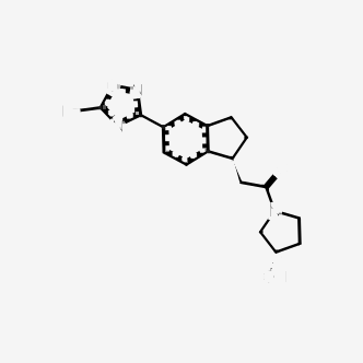 CCc1nc(-c2ccc3c(c2)CC[C@H]3CC(=O)N2CC[C@H](O)C2)no1